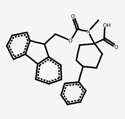 CN(C(=O)OCC1c2ccccc2-c2ccccc21)C1(C(=O)O)CCC(c2ccccc2)CC1